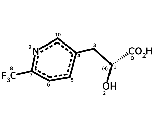 O=C(O)[C@H](O)Cc1ccc(C(F)(F)F)nc1